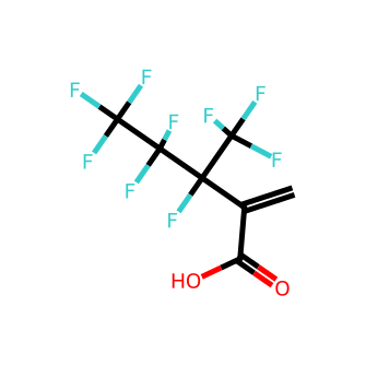 C=C(C(=O)O)C(F)(C(F)(F)F)C(F)(F)C(F)(F)F